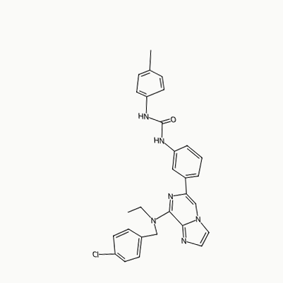 CCN(Cc1ccc(Cl)cc1)c1nc(-c2cccc(NC(=O)Nc3ccc(C)cc3)c2)cn2ccnc12